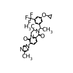 Cc1cn(-c2ccc3n(c2=O)CC(C)N(C(C)c2cc(OC4CC4)cc(C(F)(F)F)c2)C3=O)cn1